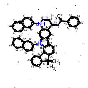 C=C(/C=C(\C=C/Nc1ccc2ccccc2c1)c1ccc2c(c1)c1ccc3c(c1n2-c1ccc2ccccc2c1)-c1ccccc1C3(C)C)c1ccccc1